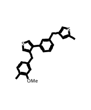 COc1cc(Cc2cscc2-c2cccc(Cc3csc(C)c3)c2)ccc1C